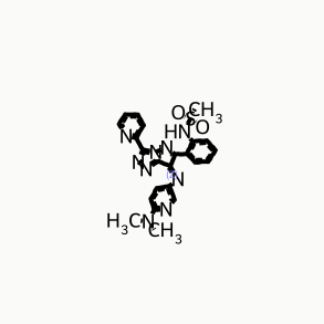 CN(C)c1ccc(/N=C2/C(c3ccccc3NS(C)(=O)=O)=Nn3c2nnc3-c2ccccn2)cn1